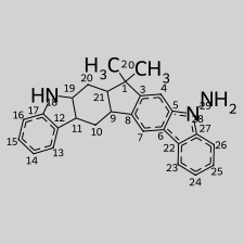 CC1(C)c2cc3c(cc2C2CC4c5ccccc5NC4CC21)c1ccccc1n3N